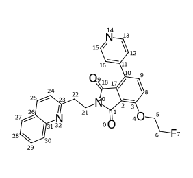 O=C1c2c(OCCF)ccc(-c3ccncc3)c2C(=O)N1CCc1ccc2ccccc2n1